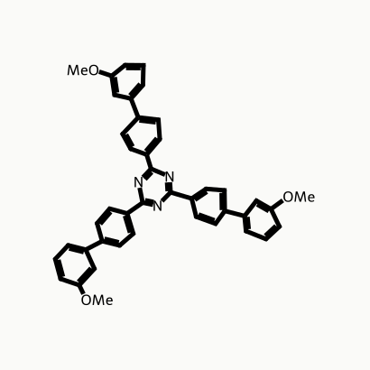 COc1cccc(-c2ccc(-c3nc(-c4ccc(-c5cccc(OC)c5)cc4)nc(-c4ccc(-c5cccc(OC)c5)cc4)n3)cc2)c1